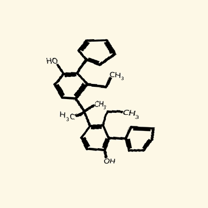 CCc1c(C(C)(C)c2ccc(O)c(-c3ccccc3)c2CC)ccc(O)c1-c1ccccc1